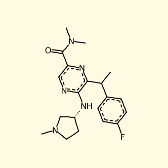 CC(c1ccc(F)cc1)c1nc(C(=O)N(C)C)cnc1N[C@@H]1CCN(C)C1